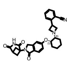 N#Cc1ccccc1C1CN([C@@H]2CCCC[C@@H]2Oc2ccc3c(c2)CN(C24CC(C2)C(=O)NC4=O)C3=O)C1